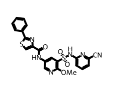 COc1ncc(NC(=O)c2csc(-c3ccccc3)n2)cc1S(=O)(=O)Nc1cccc(C#N)n1